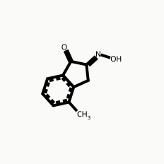 Cc1cccc2c1C/C(=N\O)C2=O